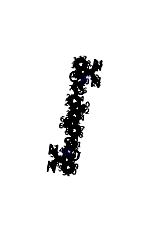 CC1(C)c2cc(-c3ccc(/C=C4\C(=O)c5ccccc5C4=C(C#N)C#N)s3)ccc2-c2cc3c(cc21)-c1ccc(-c2ccc(/C=C4\C(=O)c5ccccc5C4=C(C#N)C#N)s2)cc1C3(C)C